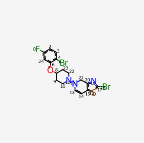 Fc1ccc(Br)c(OC2CCN(N3C=Cc4sc(Br)nc4C3)CC2)c1